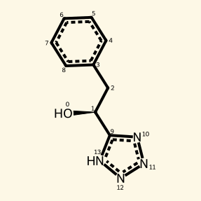 O[C@@H](Cc1ccccc1)c1nnn[nH]1